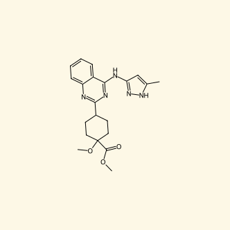 COC(=O)C1(OC)CCC(c2nc(Nc3cc(C)[nH]n3)c3ccccc3n2)CC1